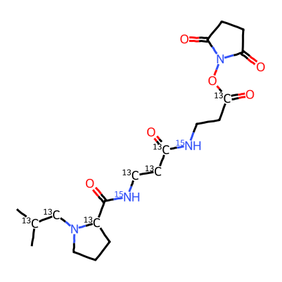 C[13CH](C)[13CH2]N1CCC[13CH]1C(=O)[15NH][13CH2][13CH2][13C](=O)[15NH]CC[13C](=O)ON1C(=O)CCC1=O